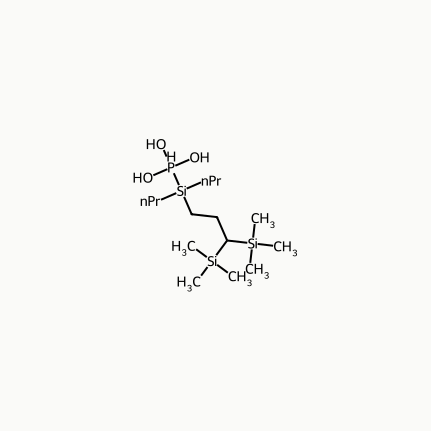 CCC[Si](CCC)(CCC([Si](C)(C)C)[Si](C)(C)C)[PH](O)(O)O